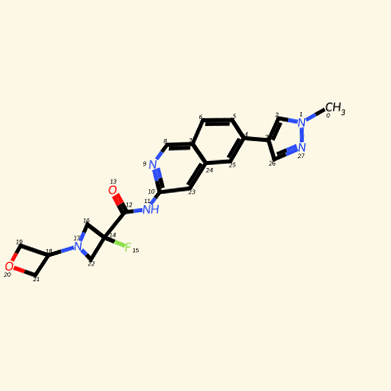 Cn1cc(-c2ccc3cnc(NC(=O)C4(F)CN(C5COC5)C4)cc3c2)cn1